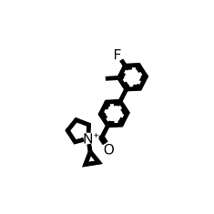 Cc1c(F)cccc1-c1ccc(C(=O)[N+]2(C3CC3)CCCC2)cc1